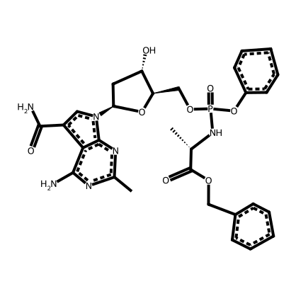 Cc1nc(N)c2c(C(N)=O)cn([C@H]3C[C@H](O)[C@@H](COP(=O)(N[C@@H](C)C(=O)OCc4ccccc4)Oc4ccccc4)O3)c2n1